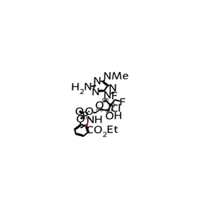 CCOC(=O)C(C)N[P@@](=O)(OC[C@H]1O[C@@H](n2cnc3c(NC)nc(N)nc32)[C@@](Cl)(C(F)F)[C@@H]1O)Oc1ccccc1